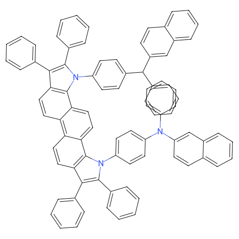 c1ccc(-c2c(-c3ccccc3)n(-c3ccc(C(c4ccccc4)c4ccc5ccccc5c4)cc3)c3c2ccc2c4ccc5c(-c6ccccc6)c(-c6ccccc6)n(-c6ccc(N(c7ccccc7)c7ccc8ccccc8c7)cc6)c5c4ccc23)cc1